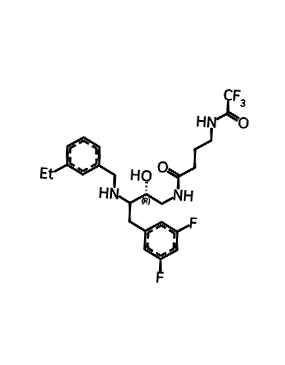 CCc1cccc(CNC(Cc2cc(F)cc(F)c2)[C@H](O)CNC(=O)CCCNC(=O)C(F)(F)F)c1